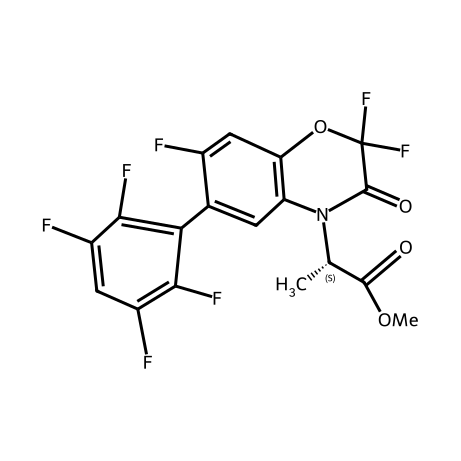 COC(=O)[C@H](C)N1C(=O)C(F)(F)Oc2cc(F)c(-c3c(F)c(F)cc(F)c3F)cc21